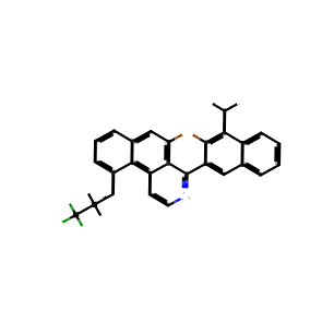 CC(C)c1c2c(cc3ccccc13)-c1nccc3c1c(cc1cccc(CC(C)(C)C(F)(F)F)c13)S2